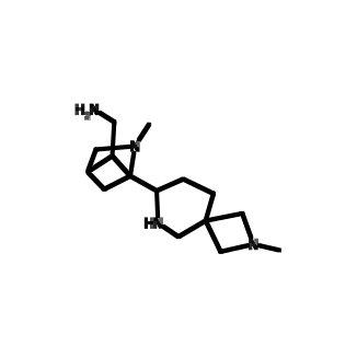 CN1CC2(CCC(C34CC(CN3C)C4CN)NC2)C1